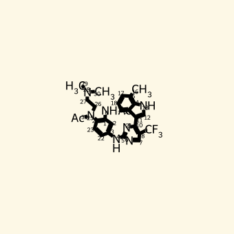 CC(=O)Nc1cc(Nc2ncc(C(F)(F)F)c(-c3c[nH]c4c(C)cccc34)n2)ccc1N(CCN(C)C)C(C)=O